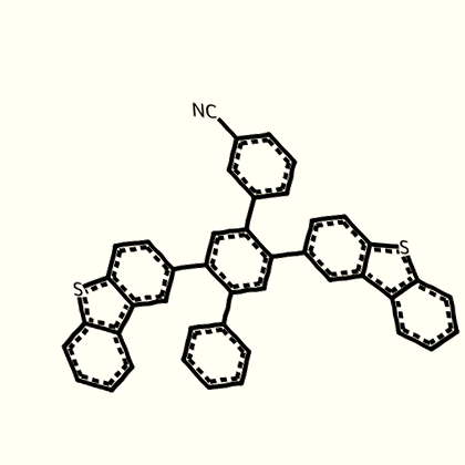 N#Cc1cccc(-c2cc(-c3ccc4sc5ccccc5c4c3)c(-c3ccccc3)cc2-c2ccc3sc4ccccc4c3c2)c1